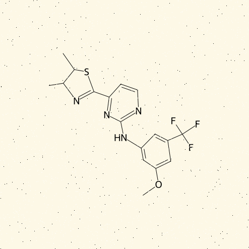 COc1cc(Nc2nccc(C3=NC(C)C(C)S3)n2)cc(C(F)(F)F)c1